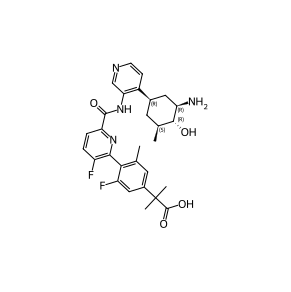 Cc1cc(C(C)(C)C(=O)O)cc(F)c1-c1nc(C(=O)Nc2cnccc2[C@H]2C[C@@H](N)[C@H](O)[C@@H](C)C2)ccc1F